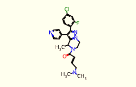 CC1c2c(-c3ccncc3)c(-c3ccc(Cl)cc3F)nn2CCN1C(=O)C=CCN(C)C